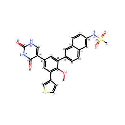 COc1c(-c2ccsc2)cc(-c2c[nH]c(=O)[nH]c2=O)cc1-c1ccc2cc(NS(C)(=O)=O)ccc2c1